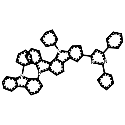 c1ccc(-c2cc(-c3ccc4c(c3)c3ccc5c(c6ccccc6n5-c5cccc6c7ccccc7n(-c7ccccc7)c56)c3n4-c3ccccc3)nc(-c3ccccc3)n2)cc1